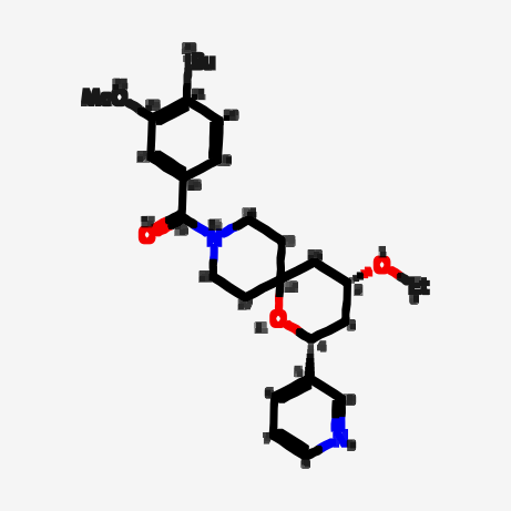 CCO[C@@H]1C[C@H](c2cccnc2)OC2(CCN(C(=O)c3ccc(C(C)(C)C)c(OC)c3)CC2)C1